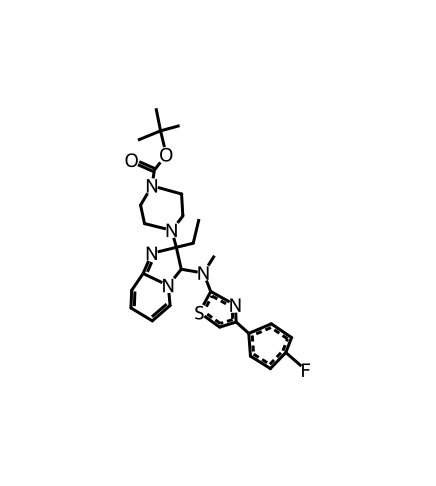 CCC1(N2CCN(C(=O)OC(C)(C)C)CC2)N=C2C=CC=CN2C1N(C)c1nc(-c2ccc(F)cc2)cs1